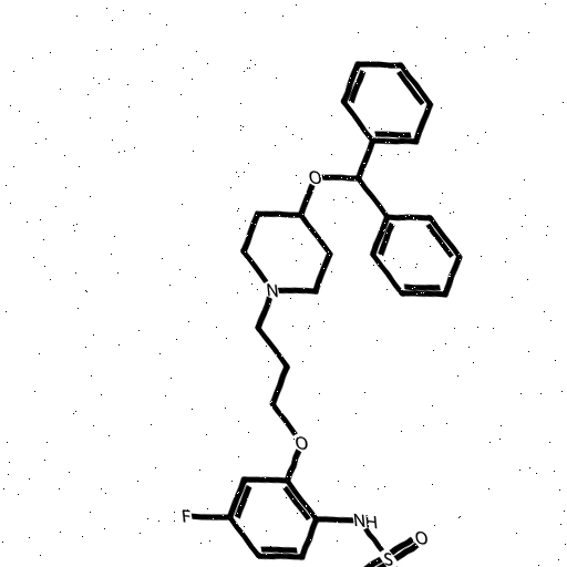 CS(=O)(=O)Nc1ccc(F)cc1OCCCN1CCC(OC(c2ccccc2)c2ccccc2)CC1